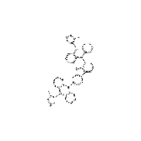 Cc1cscc1-c1c2ccccc2c(-c2ccc3c(c2)oc2c(-c4c5ccccc5c(-c5cscc5C)c5ccccc45)cccc23)c2ccccc12